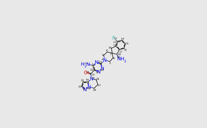 Nc1nc(N2CCC3(CC2)Cc2c(F)cccc2[C@H]3N)nnc1C(=O)N1CCCn2nccc21